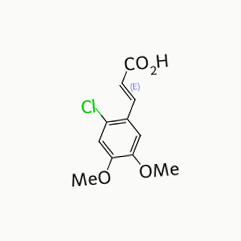 COc1cc(Cl)c(/C=C/C(=O)O)cc1OC